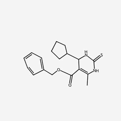 CC1=C(C(=O)OCc2ccccc2)C(C2CCCC2)NC(=S)N1